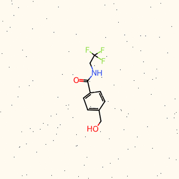 O=C(NCC(F)(F)F)c1ccc(CO)cc1